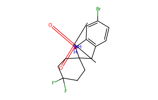 O=C1NC(=O)C2(N1)c1cc(Br)ccc1CC21CCC(F)(F)CC1